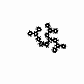 c1ccc(-c2cc(-c3ccccc3)cc(-c3ccc(-c4cccc(-c5cccc(-c6nc(-c7cccc(-c8cc(-c9ccccc9)cc(-c9ccccc9)c8)c7)nc(-c7cccc(-c8cc(-c9ccccc9)cc(-c9ccccc9)c8)c7)n6)c5)n4)cc3)c2)cc1